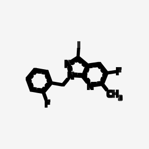 Cc1nc2c(cc1F)c(I)nn2Cc1ccccc1F